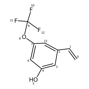 C=Cc1cc(O)cc(OC(F)(F)F)c1